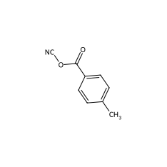 Cc1ccc(C(=O)OC#N)cc1